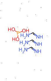 N=CN.N=CN.N=CN.OP(O)O